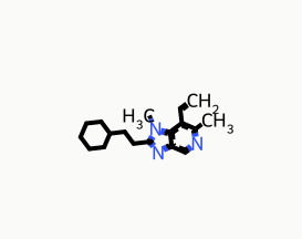 C=Cc1c(C)ncc2nc(CCC3CCCCC3)n(C)c12